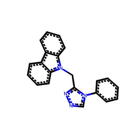 c1ccc(-n2cnnc2Cn2c3ccccc3c3ccccc32)cc1